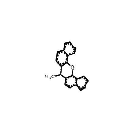 CC1c2ccc3ccccc3c2Oc2c1ccc1ccccc21